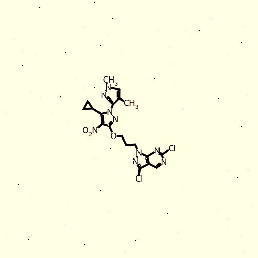 Cc1cn(C)nc1-n1nc(OCCCn2nc(Cl)c3cnc(Cl)nc32)c([N+](=O)[O-])c1C1CC1